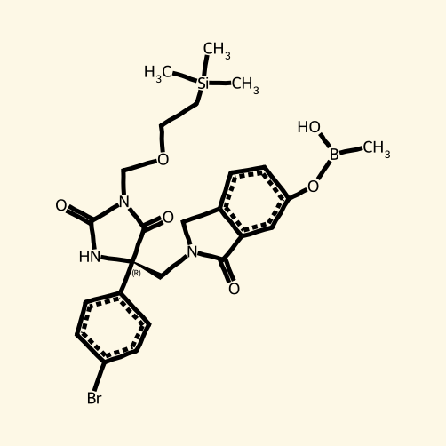 CB(O)Oc1ccc2c(c1)C(=O)N(C[C@@]1(c3ccc(Br)cc3)NC(=O)N(COCC[Si](C)(C)C)C1=O)C2